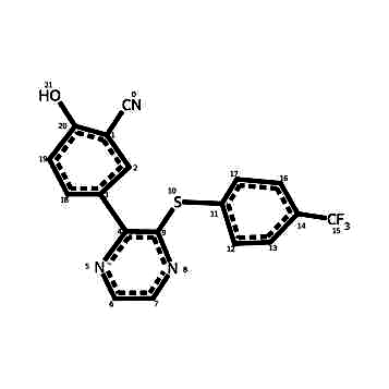 N#Cc1cc(-c2nccnc2Sc2ccc(C(F)(F)F)cc2)ccc1O